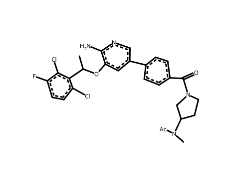 CC(=O)N(C)C1CCN(C(=O)c2ccc(-c3cnc(N)c(OC(C)c4c(Cl)ccc(F)c4Cl)c3)cc2)C1